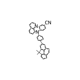 CC1(C)c2cccc3ccc4cc(-c5ccc(N(c6ccc(C#N)cc6)c6cccc7cccnc67)cc5)cc1c4c23